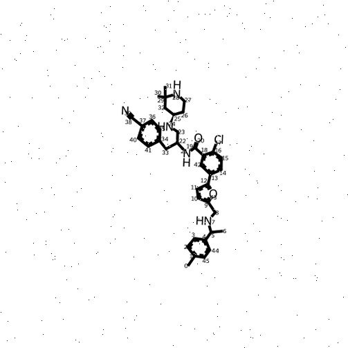 Cc1ccc(C(C)NCc2ccc(-c3ccc(Cl)c(C(=O)NC(CN[C@@H]4CCNC(C)(C)C4)Cc4ccc(C#N)cc4)c3)o2)cc1